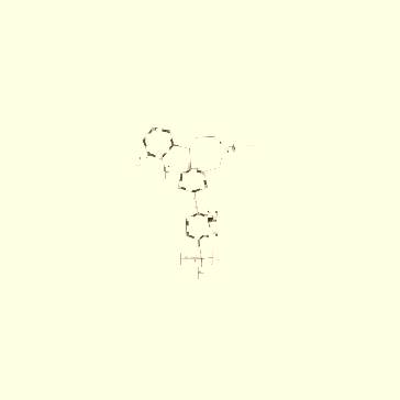 CN1CCC(c2cccc(F)c2F)c2ccc(-c3ccc(C(F)(F)F)nn3)cc2C1